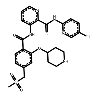 CS(=O)(=O)Cc1ccc(C(=O)Nc2cccnc2C(=O)Nc2ccc(Cl)cn2)c(OC2CCNCC2)c1